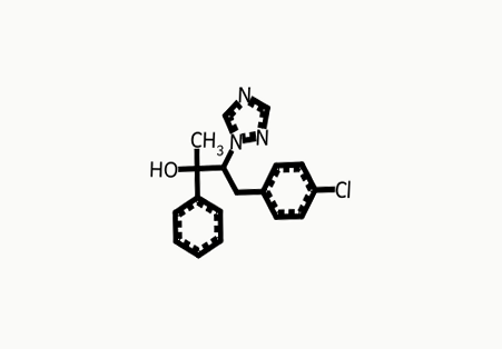 CC(O)(c1ccccc1)C(Cc1ccc(Cl)cc1)n1cncn1